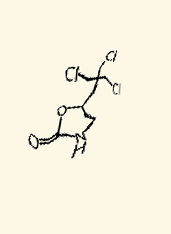 O=C1NCC(C(Cl)(Cl)Cl)O1